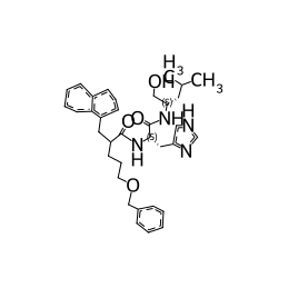 CC(C)C[C@@H](CO)NC(=O)[C@H](Cc1c[nH]cn1)NC(=O)C(CCCOCc1ccccc1)Cc1cccc2ccccc12